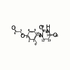 Cc1cc(OCC=O)ccc1N1CCC(=O)NC1=O